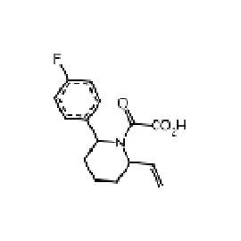 C=CC1CCCC(c2ccc(F)cc2)N1C(=O)C(=O)O